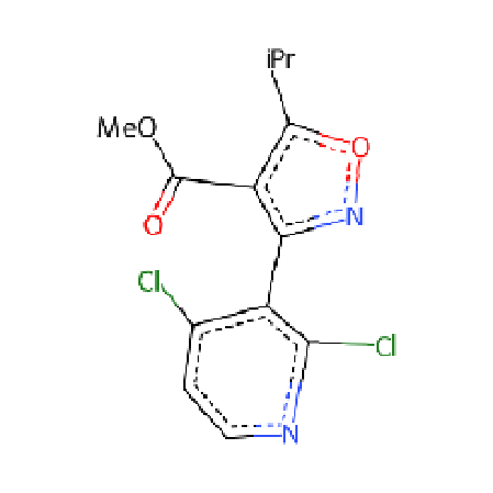 COC(=O)c1c(-c2c(Cl)ccnc2Cl)noc1C(C)C